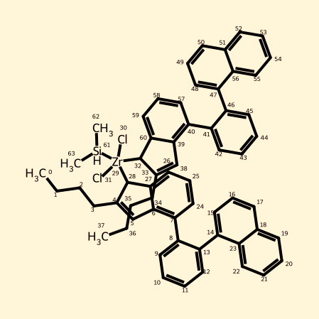 CCCCC1=Cc2c(-c3ccccc3-c3cccc4ccccc34)cccc2[CH]1[Zr]([Cl])([Cl])([CH]1C(CCCC)=Cc2c(-c3ccccc3-c3cccc4ccccc34)cccc21)[SiH](C)C